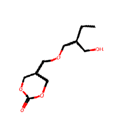 CCC(CO)COCC1COC(=O)OC1